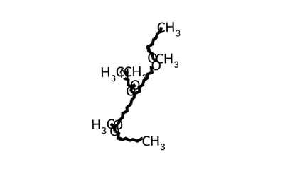 CCCCCC/C=C\COC(C)OCCCCCCCCC(CCCCCCCCOC(C)OC/C=C\CCCCCC)OC(=O)CCCN(C)C